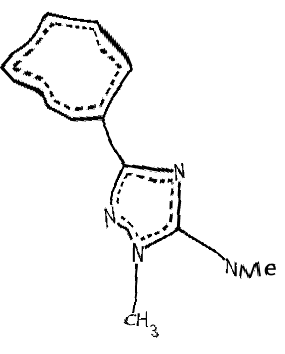 CNc1nc(-c2ccccc2)nn1C